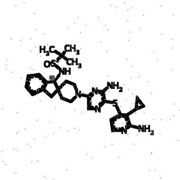 CC(C)(C)[S+]([O-])N[C@@H]1c2ccccc2CC12CCN(c1cnc(Sc3ccnc(N)c3C3CC3)c(N)n1)CC2